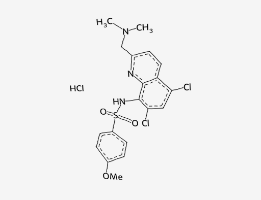 COc1ccc(S(=O)(=O)Nc2c(Cl)cc(Cl)c3ccc(CN(C)C)nc23)cc1.Cl